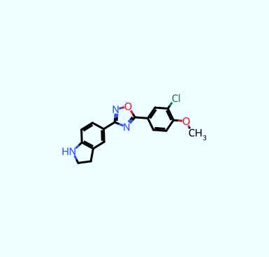 COc1ccc(-c2nc(-c3ccc4c(c3)CCN4)no2)cc1Cl